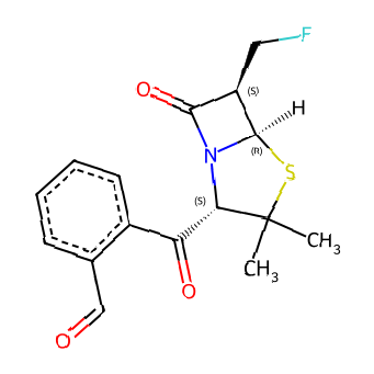 CC1(C)S[C@@H]2[C@H](CF)C(=O)N2[C@H]1C(=O)c1ccccc1C=O